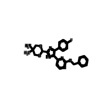 CC1(N)COC(c2nc(-c3ccc(F)cc3)c(-c3ccnc(OCc4ccccc4)n3)[nH]2)OC1